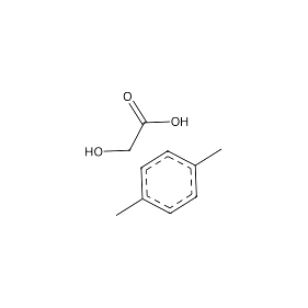 Cc1ccc(C)cc1.O=C(O)CO